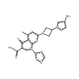 Cc1cc(N2CC(n3cc(N)cn3)C2)nc2c1c(=O)c(C(=O)O)cn2-c1ncns1